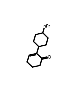 CCCC1CCC(C2=CCCCC2=O)CC1